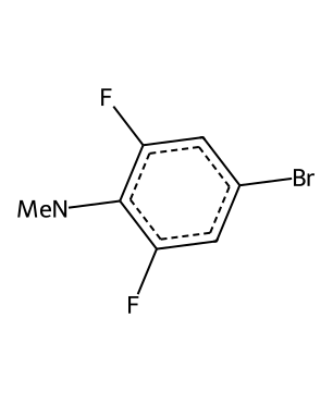 CNc1c(F)cc(Br)cc1F